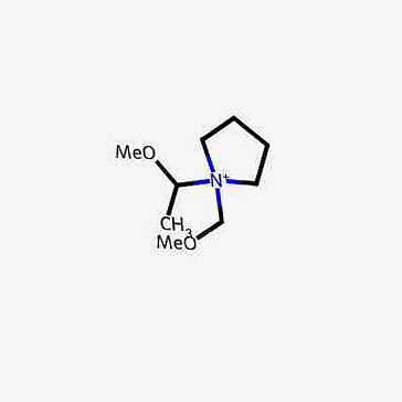 COC[N+]1(C(C)OC)CCCC1